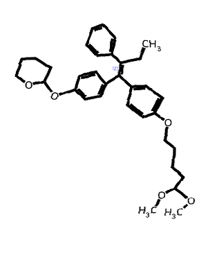 CC/C(=C(\c1ccc(OCCCCC(OC)OC)cc1)c1ccc(OC2CCCCO2)cc1)c1ccccc1